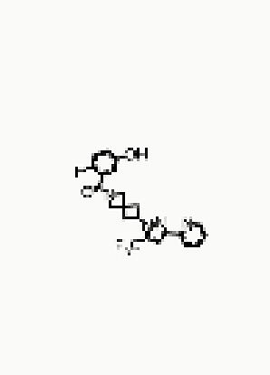 O=C(c1cc(O)ccc1F)N1CC2(CC(n3nc(-c4ccccn4)cc3C(F)(F)F)C2)C1